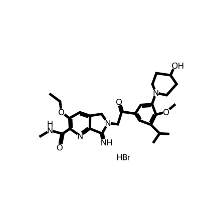 Br.CCOc1cc2c(nc1C(=O)NC)C(=N)N(CC(=O)c1cc(C(C)C)c(OC)c(N3CCC(O)CC3)c1)C2